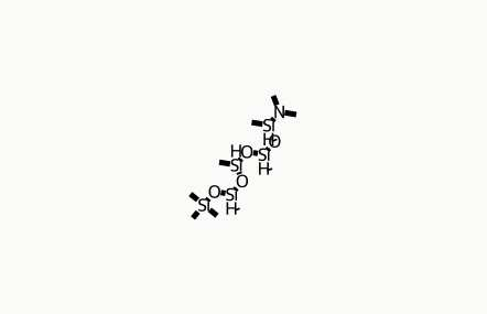 CN(C)[SiH](C)O[SiH](C)O[SiH](C)O[SiH](C)O[Si](C)(C)C